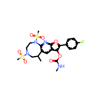 CNC(=O)Oc1c(-c2ccc(F)cc2)oc2nc3c(cc12)C(C)CN(S(C)(=O)=O)CCN3S(C)(=O)=O